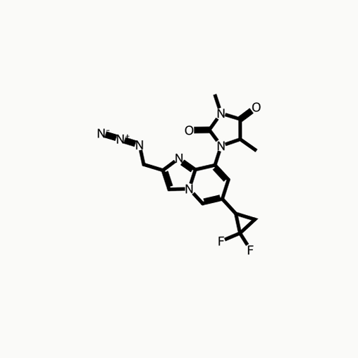 CC1C(=O)N(C)C(=O)N1c1cc(C2CC2(F)F)cn2cc(CN=[N+]=[N-])nc12